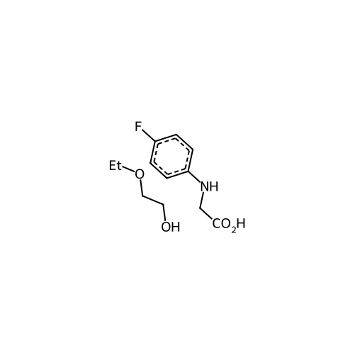 CCOCCO.O=C(O)CNc1ccc(F)cc1